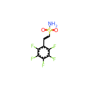 NS(=O)(=O)C=Cc1c(F)c(F)c(F)c(F)c1F